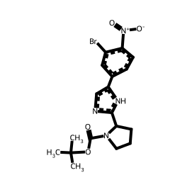 CC(C)(C)OC(=O)N1CCCC1c1ncc(-c2ccc([N+](=O)[O-])c(Br)c2)[nH]1